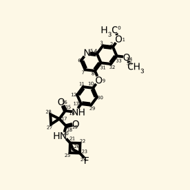 COc1cc2nccc(Oc3ccc(NC(=O)C4(C(=O)NC56CC(F)(C5)C6)CC4)cc3)c2cc1OC